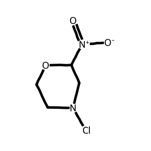 O=[N+]([O-])C1CN(Cl)CCO1